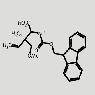 C=C[C@](C)(COC)[C@H](NC(=O)OCC1c2ccccc2-c2ccccc21)C(=O)O